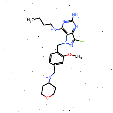 CCCCNc1nc(N)nc2c(F)nn(Cc3ccc(CNC4CCOCC4)cc3OC)c12